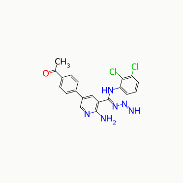 CC(=O)c1ccc(-c2cnc(N)c(/C(=N/N=N)Nc3cccc(Cl)c3Cl)c2)cc1